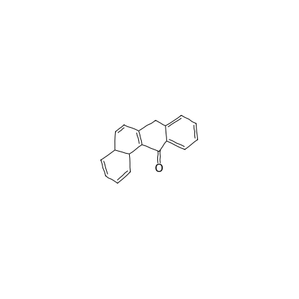 O=C1C2=C(C=CC3C=CC=CC23)Cc2ccccc21